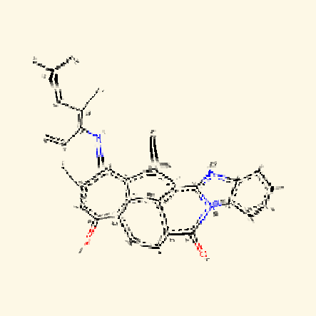 C=CC(/N=c1\c(C)cc(=O)c2ccc3c(=O)n4c5ccccc5nc4c4c(=C)c1c2c34)=C(/C)C=C(C)C